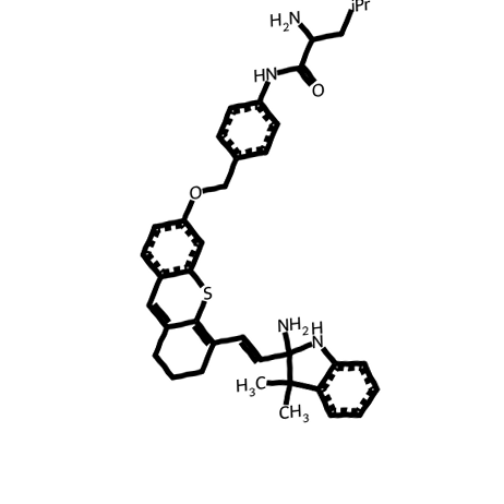 CC(C)CC(N)C(=O)Nc1ccc(COc2ccc3c(c2)SC2=C(C=CC4(N)Nc5ccccc5C4(C)C)CCCC2=C3)cc1